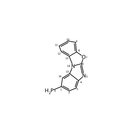 Pc1ccc2nc3oc4ccccc4n3c2c1